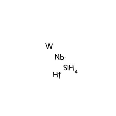 [Hf].[Nb].[SiH4].[W]